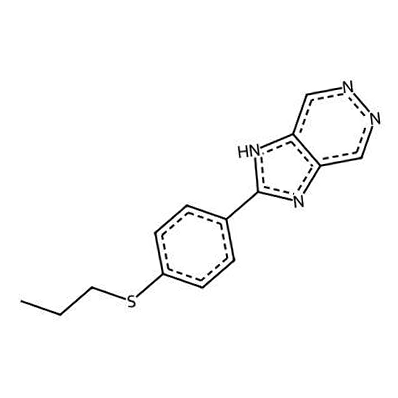 CCCSc1ccc(-c2nc3cnncc3[nH]2)cc1